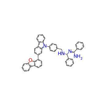 N/C(=N\C(NCc1ccc(-n2c3ccccc3c3ccc(-c4cccc5c4oc4ccccc45)cc32)cc1)c1ccccc1)c1ccccc1